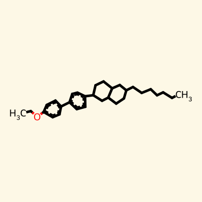 CCCCCCCC1CCC2CC(c3ccc(-c4ccc(OCC)cc4)cc3)CCC2C1